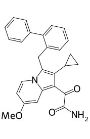 COc1ccn2c(Cc3ccccc3-c3ccccc3)c(C3CC3)c(C(=O)C(N)=O)c2c1